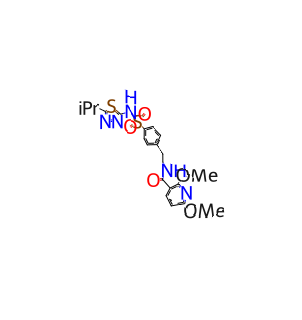 COc1ccc(C(=O)NCCc2ccc(S(=O)(=O)Nc3nnc(C(C)C)s3)cc2)c(OC)n1